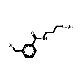 CCOC(=O)CCCNC(=O)c1cccc(CBr)c1